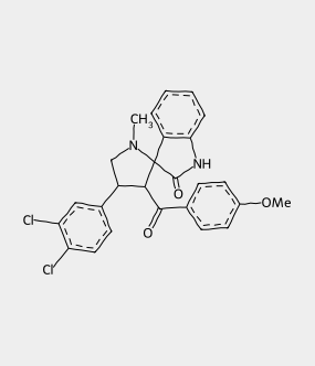 COc1ccc(C(=O)C2C(c3ccc(Cl)c(Cl)c3)CN(C)C23C(=O)Nc2ccccc23)cc1